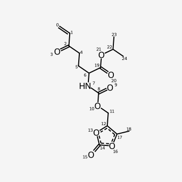 C=CC(=O)CCC(NC(=O)OCc1oc(=O)oc1C)C(=O)OC(C)C